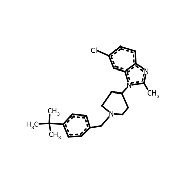 Cc1nc2ccc(Cl)cc2n1C1CCN(Cc2ccc(C(C)(C)C)cc2)CC1